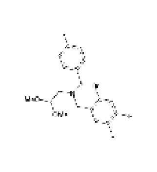 COC(CN(Cc1cc(F)c(F)cc1Br)Sc1ccc(C)cc1)OC